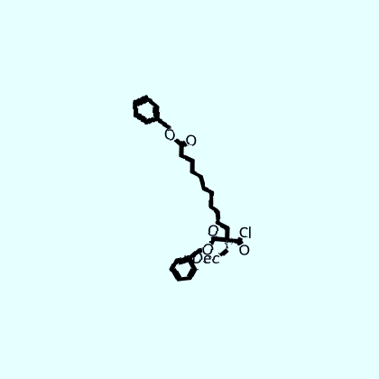 CCCCCCCCCCC[C@](CCCCCCCCCCC(=O)OCc1ccccc1)(C(=O)Cl)C(=O)OCc1ccccc1